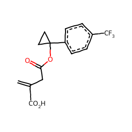 C=C(CC(=O)OC1(c2ccc(C(F)(F)F)cc2)CC1)C(=O)O